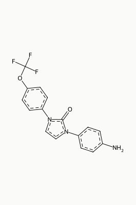 Nc1ccc(-n2ccn(-c3ccc(OC(F)(F)F)cc3)c2=O)cc1